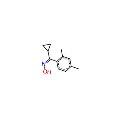 Cc1ccc(/C(=N\O)C2CC2)c(C)c1